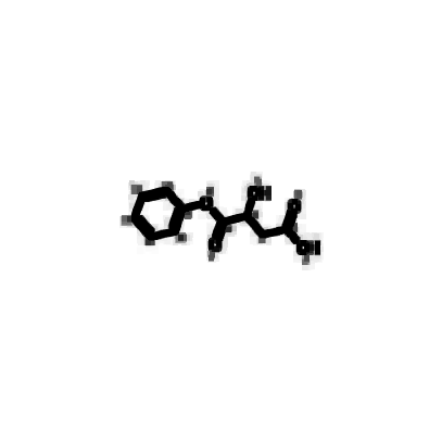 O=C(O)CC(O)C(=O)Oc1ccccc1